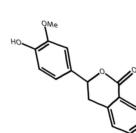 COc1cc(C2Cc3ccccc3C(=O)O2)ccc1O